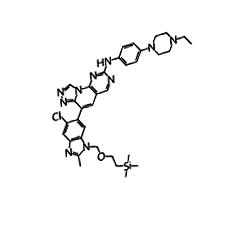 CCN1CCN(c2ccc(Nc3ncc4cc(-c5cc6c(cc5Cl)nc(C)n6COCC[Si](C)(C)C)c5nncn5c4n3)cc2)CC1